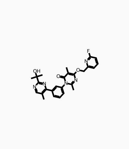 Cc1cnc(C(C)(C)O)nc1-c1cccc(-n2c(C)nc(OCc3cccc(F)n3)c(C)c2=O)c1